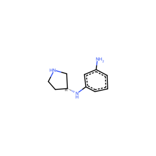 Nc1cccc(N[C@@H]2CCNC2)c1